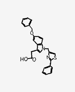 O=C(O)Cc1cn(Cc2csc(-c3ccccc3)n2)c2ccc(OCc3ccccc3)cc12